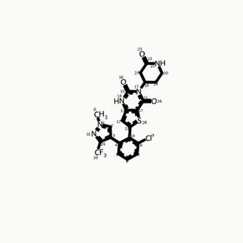 Cn1cc(-c2cccc(Cl)c2-c2cc3[nH]c(=O)n(C4CCNC(=O)C4)c(=O)c3s2)c(C(F)(F)F)n1